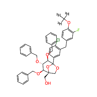 [2H]C([2H])([2H])Oc1ccc(Cc2cc(C34OC[C@@](CO)(O3)[C@@H](OCc3ccccc3)[C@H](OCc3ccccc3)[C@H]4OCc3ccccc3)ccc2Cl)cc1F